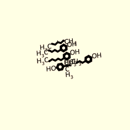 CCC(C)(C)c1ccc(O)cc1.CCCCCCc1ccc(O)cc1.CCCCCc1ccc(O)cc1.CCCCc1ccc(O)cc1.CCC[CH]CCC